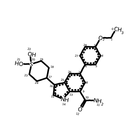 CCOc1ccc(-c2cc(C(N)=O)c3[nH]cc(C4CCS(O)(O)CC4)c3c2)cc1